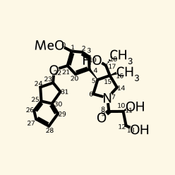 COc1ccc([C@@H]2CN(C(=O)[C@H](O)CO)C[C@@]2(C)[C@@H](C)O)cc1OC1Cc2ccccc2C1